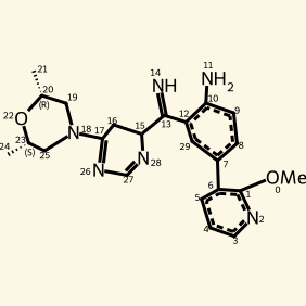 COc1ncccc1-c1ccc(N)c(C(=N)C2CC(N3C[C@@H](C)O[C@@H](C)C3)=NC=N2)c1